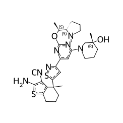 C[C@H](Oc1nc(-c2cc(C3(C)CCCc4sc(N)c(C#N)c43)sn2)cc(N2CCC[C@@](C)(O)C2)n1)[C@@H]1CCCN1C